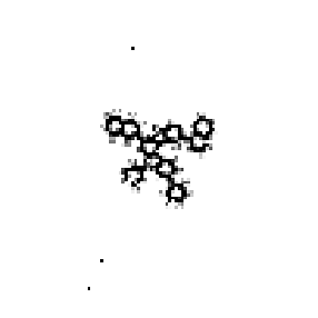 C1=Cc2cccc(-c3ccc4sc5c(-c6ccc7ccccc7c6)cc6c(c7ccc(-c8ccccc8)cc7n6-c6ccccc6)c5c4c3)c2CC1